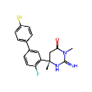 CN1C(=N)N[C@](C)(c2cc(-c3ccc(S)cc3)ccc2F)CC1=O